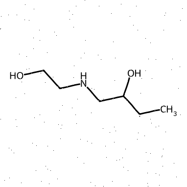 C[CH]C(O)CNCCO